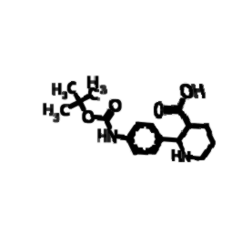 CC(C)(C)OC(=O)Nc1ccc(C2NCCCC2C(=O)O)cc1